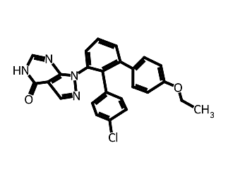 CCOc1ccc(-c2cccc(-n3ncc4c(=O)[nH]cnc43)c2-c2ccc(Cl)cc2)cc1